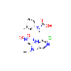 CCN(Cc1ccc(Cl)nc1)C(=C[N+](=O)[O-])NC.Cc1cccc(N(C)C(=O)O)c1